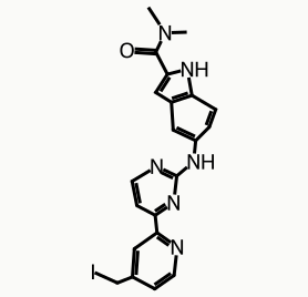 CN(C)C(=O)c1cc2cc(Nc3nccc(-c4cc(CI)ccn4)n3)ccc2[nH]1